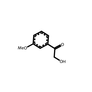 COc1cccc(C(=O)CO)c1